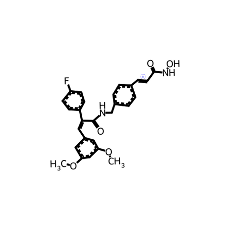 COc1cc(C=C(C(=O)NCc2ccc(/C=C/C(=O)NO)cc2)c2ccc(F)cc2)cc(OC)c1